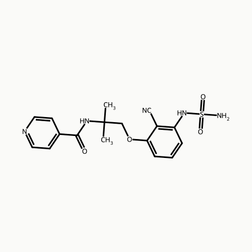 CC(C)(COc1cccc(NS(N)(=O)=O)c1C#N)NC(=O)c1ccncc1